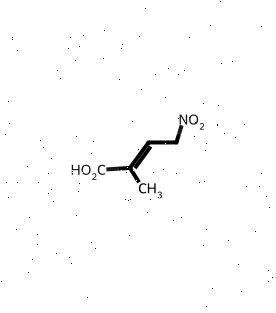 CC(=CC[N+](=O)[O-])C(=O)O